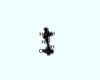 Cc1sc2c(c1C)C(c1ccc(Cl)cc1)=N[C@@H](CC(=O)NCCCCNC(=O)COc1cccc3c1C(=O)N([C@@]1(C(=O)OCc4ccccc4)CCC(=O)NC1=O)C3O)c1nnc(C)n1-2